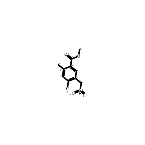 COC(=O)c1cc(C[SH](=O)=O)c(Cl)cc1C